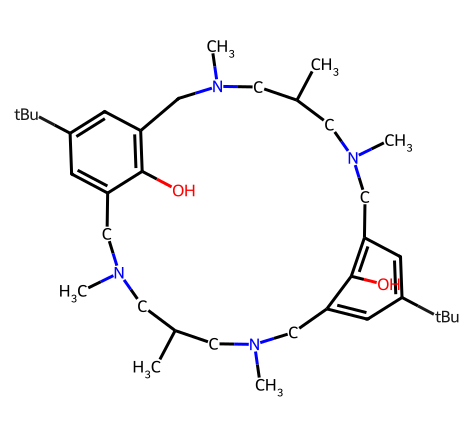 CC1CN(C)Cc2cc(C(C)(C)C)cc(c2O)CN(C)CC(C)CN(C)Cc2cc(C(C)(C)C)cc(c2O)CN(C)C1